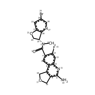 CN(C(=O)c1cc2c3c(c(N)nc2cc1F)COC3)[C@@H]1COc2cc(Br)cnc21